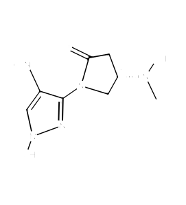 CN(C)[C@H]1CC(=O)N(c2nn(C)cc2[N+](=O)[O-])C1